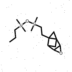 CCC[Si](C)(C)O[Si](C)(C)CCC12CC13CC2C1OC13